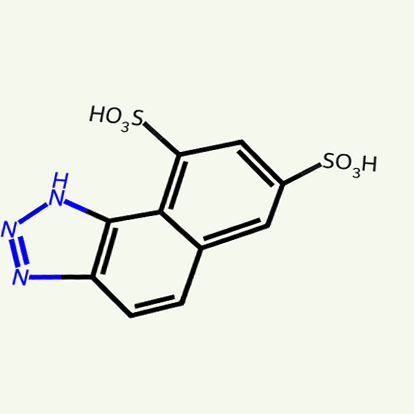 O=S(=O)(O)c1cc(S(=O)(=O)O)c2c(ccc3nn[nH]c32)c1